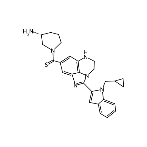 N[C@@H]1CCCN(C(=S)c2cc3c4c(c2)nc(-c2cc5ccccc5n2CC2CC2)n4CCN3)C1